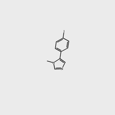 Cn1cncc1-c1ccc(I)cc1